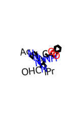 CC(=O)N1CCN(c2nc(NC(C)C3COc4ccccc4O3)c3c(n2)C(C=O)N(C(C)C)C3)CC1